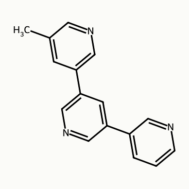 Cc1cncc(-c2cncc(-c3cccnc3)c2)c1